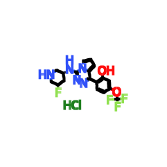 Cl.Oc1cc(OC(F)(F)F)ccc1-c1nnc(N[C@H]2CNC[C@H](F)C2)n2cccc12